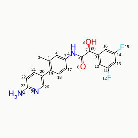 Cc1cc(NC(=O)[C@@H](O)c2cc(F)cc(F)c2)ccc1-c1ccc(N)nc1